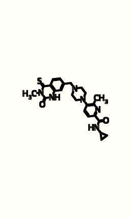 Cc1nc(C(=O)NC2CC2)ccc1N1CCN(Cc2ccc3c(=S)n(C)c(=O)[nH]c3c2)CC1